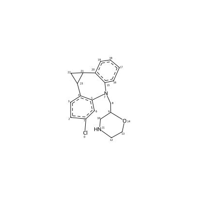 Clc1ccc2c(c1)N(CC1CNCCO1)c1ccccc1C1CC21